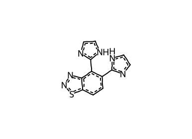 c1c[nH]c(-c2ccc3snnc3c2-c2ncc[nH]2)n1